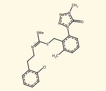 CS/C(=N/CCc1ccccc1Cl)SCc1c(C)cccc1-n1nnn(C)c1=O